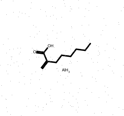 C=C(CCCCCC)C(=O)O.[AlH3]